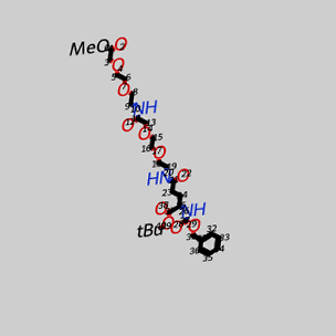 COC(=O)COCCOCCNC(=O)COCCOCCNC(=O)CCC(NC(=O)OCc1ccccc1)C(=O)OC(C)(C)C